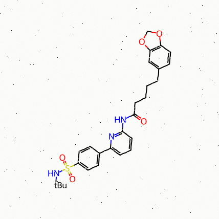 CC(C)(C)NS(=O)(=O)c1ccc(-c2cccc(NC(=O)CCCCc3ccc4c(c3)OCO4)n2)cc1